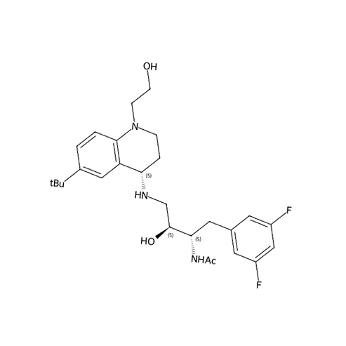 CC(=O)N[C@@H](Cc1cc(F)cc(F)c1)[C@@H](O)CN[C@H]1CCN(CCO)c2ccc(C(C)(C)C)cc21